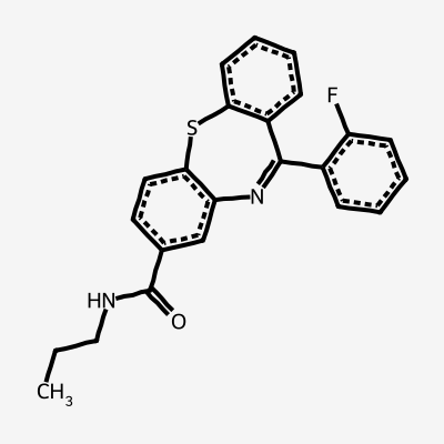 CCCNC(=O)c1ccc2c(c1)N=C(c1ccccc1F)c1ccccc1S2